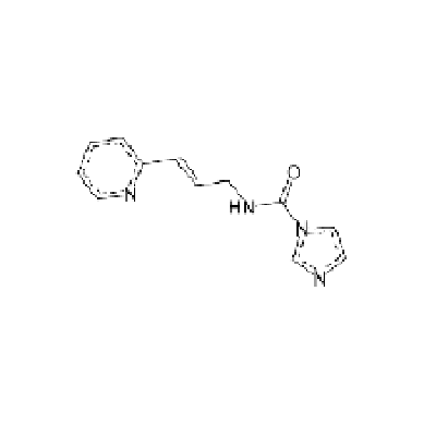 O=C(NCC=Cc1ccccn1)n1ccnc1